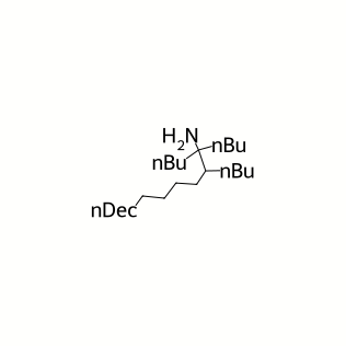 CCCCCCCCCCCCCCC(CCCC)C(N)(CCCC)CCCC